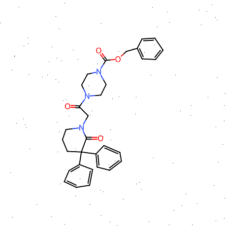 O=C(CN1CCCC(c2ccccc2)(c2ccccc2)C1=O)N1CCN(C(=O)OCc2ccccc2)CC1